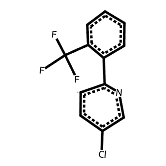 FC(F)(F)c1ccccc1-c1[c]cc(Cl)cn1